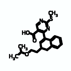 CSc1ncc(C(=O)O)c(C2=CC(CCOC(C)C)Cc3ccccc32)n1